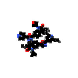 CC1(C)C(=O)N(C2COC2)c2cc(-c3nnc(-c4ccncc4)o3)ccc21.Cc1cc(-c2ncc(-c3ccc4c(c3)N(C3CC3)C(=O)C4(C)C)o2)ccn1